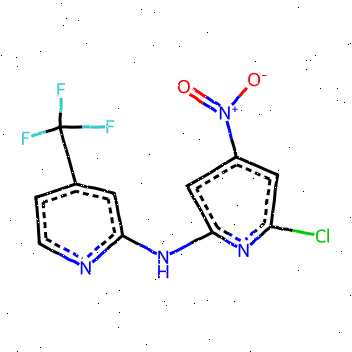 O=[N+]([O-])c1cc(Cl)nc(Nc2cc(C(F)(F)F)ccn2)c1